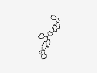 c1ccc(N(c2ccc(-c3ccc4c(ccc5ccc6ccccc6c54)c3)cc2)c2cccc3c2ccc2oc4ccccc4c23)cc1